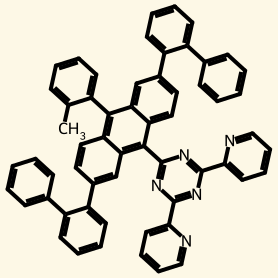 Cc1ccccc1-c1c2ccc(-c3ccccc3-c3ccccc3)cc2c(-c2nc(-c3ccccn3)nc(-c3ccccn3)n2)c2ccc(-c3ccccc3-c3ccccc3)cc12